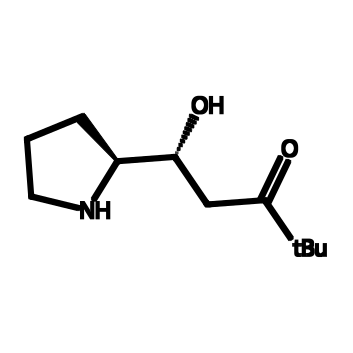 CC(C)(C)C(=O)C[C@@H](O)[C@@H]1CCCN1